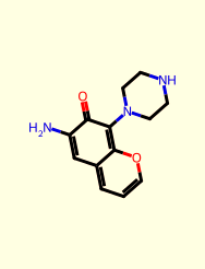 Nc1cc2cccoc-2c(N2CCNCC2)c1=O